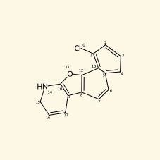 Clc1cccc2ccc3c4c(oc3c12)NCC=C4